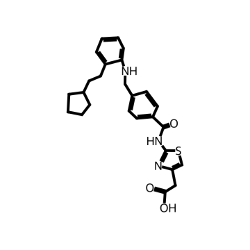 O=C(O)Cc1csc(NC(=O)c2ccc(CNc3ccccc3CCC3CCCC3)cc2)n1